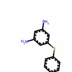 Nc1cc(N)cc(Sc2ccccc2)c1